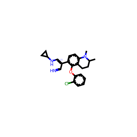 CC1CCc2c(ccc(/C(C=N)=C/NC3CC3)c2Oc2ccccc2Cl)N1C